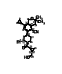 CC(C)[C@@H]1CN(c2nc(C3CC3)c3c(c2C#N)CC(C)(C)OC3)CCN1C(=O)C1C[C@H]1CO